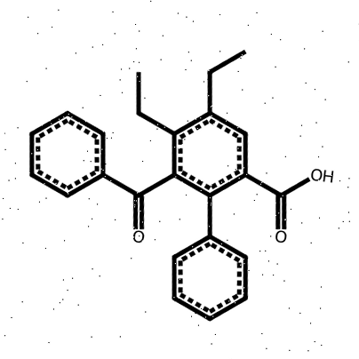 CCc1cc(C(=O)O)c(-c2ccccc2)c(C(=O)c2ccccc2)c1CC